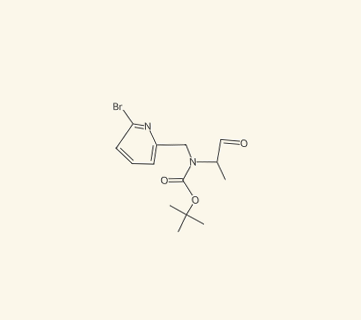 CC(C=O)N(Cc1cccc(Br)n1)C(=O)OC(C)(C)C